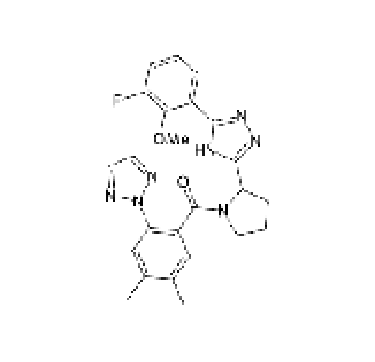 COc1c(F)cccc1-c1nnc(C2CCCN2C(=O)c2cc(C)c(C)cc2-n2nccn2)[nH]1